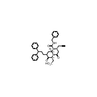 C#CCN1CC(=O)N2[C@@H](CC(=O)O)C(=O)C(CCC(c3ccccc3)c3ccccc3)C[C@@H]2N1C(=O)NCc1ccccc1